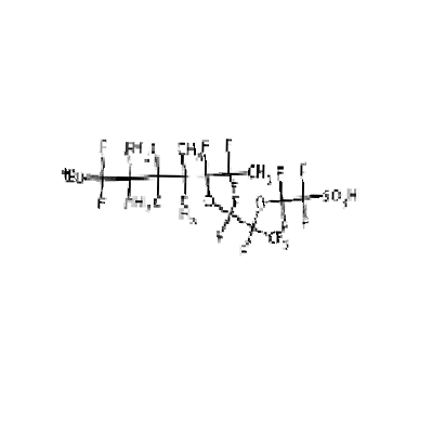 CC(C)(C)C(F)(F)C(F)(F)C(C)(C)C(C)(C)C(F)(OC(F)(F)C(F)(OC(F)(F)C(F)(F)S(=O)(=O)O)C(F)(F)F)C(C)(F)F